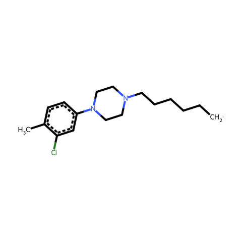 [CH2]CCCCCN1CCN(c2ccc(C)c(Cl)c2)CC1